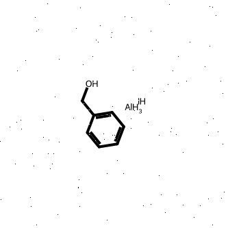 I.OCc1ccccc1.[AlH3]